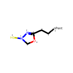 CCCCCCCC1=NN(S)CO1